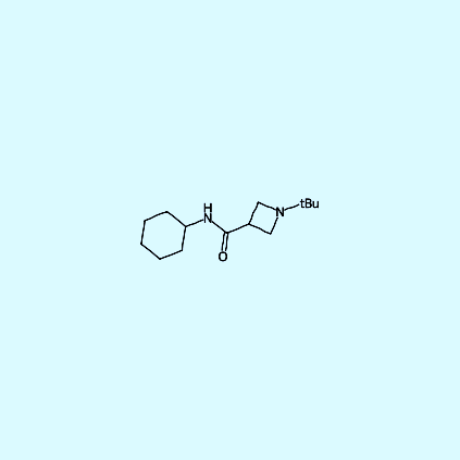 CC(C)(C)N1CC(C(=O)NC2CCCCC2)C1